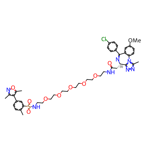 COc1ccc2c(c1)C(c1ccc(Cl)cc1)=N[C@@H](CC(=O)NCCOCCOCCOCCOCCOCCNS(=O)(=O)c1cc(-c3c(C)noc3C)ccc1C)c1nnc(C)n1-2